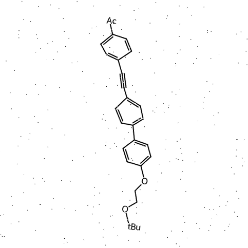 CC(=O)c1ccc(C#Cc2ccc(-c3ccc(OCCOC(C)(C)C)cc3)cc2)cc1